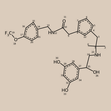 CC(C)(Cc1cccc(CC(=O)NCc2ccc(OC(F)(F)F)cc2)c1)NCC(O)c1cc(O)cc(O)c1